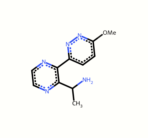 COc1ccc(-c2nccnc2C(C)N)nn1